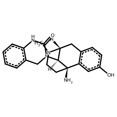 CN1CC[C@@]2(N)c3cc(O)ccc3C[C@@H]1[C@@H]2N1Cc2ccccc2NC1=O